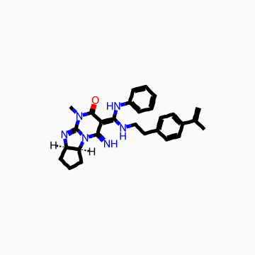 C=C(C)c1ccc(CCN/C(Nc2ccccc2)=c2/c(=O)n(C)c3n(c2=N)[C@H]2CCC[C@H]2N=3)cc1